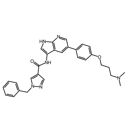 CN(C)CCCOc1ccc(-c2cnc3[nH]cc(NC(=O)c4cnn(Cc5ccccc5)c4)c3c2)cc1